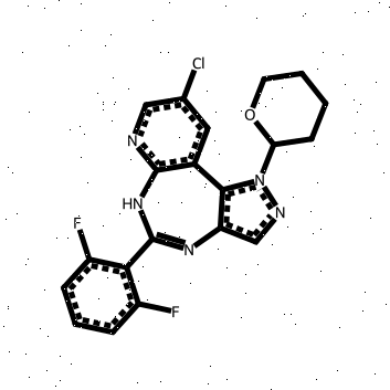 Fc1cccc(F)c1C1=Nc2cnn(C3CCCCO3)c2-c2cc(Cl)cnc2N1